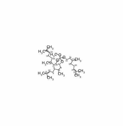 COC(OCCC(C)CCC=C(C)C)(OCCC(C)CCC=C(C)C)OCCC(C)CCC=C(C)C